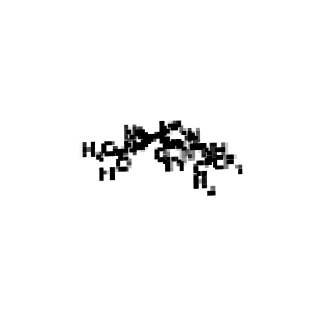 CCOC(C)n1cc(-c2ncn3nc(N[C@@H](C)C(F)(F)F)nc3c2OC(C)C)cn1